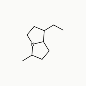 CCC1CCN2C(C)CCC12